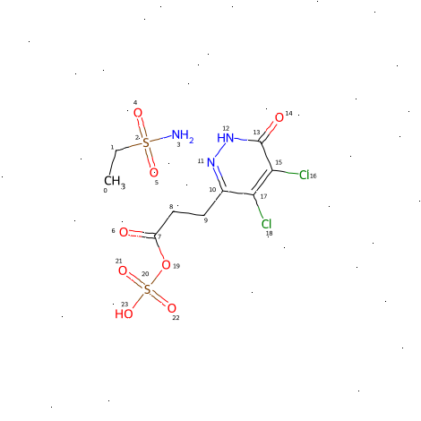 CCS(N)(=O)=O.O=C(CCc1n[nH]c(=O)c(Cl)c1Cl)OS(=O)(=O)O